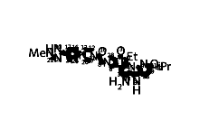 CCN(C(=O)[C@@H]1CCN(CC(=O)N2CCN(c3ccc(C(=N)/N=C\NC)cn3)CC2)C1)c1ccc(N)c(C(=N)c2ccc(OC(C)C)nc2)n1